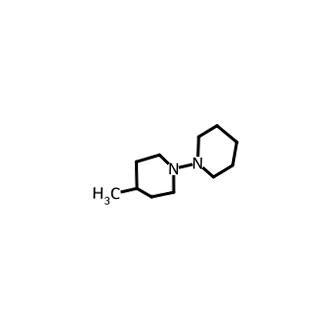 CC1CCN(N2CCCCC2)CC1